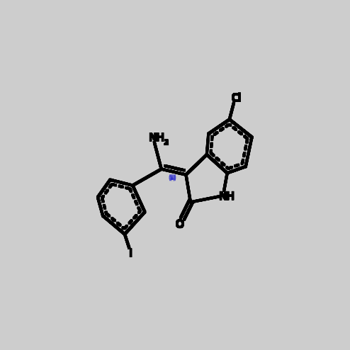 N/C(=C1/C(=O)Nc2ccc(Cl)cc21)c1cccc(I)c1